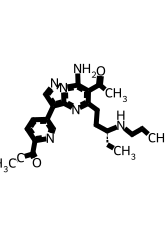 CCCN[C@H](CC)CCc1nc2c(-c3ccc(C(=O)CC)nc3)cnn2c(N)c1C(C)=O